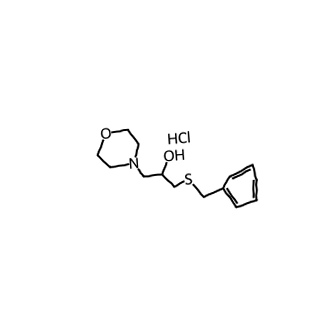 Cl.OC(CSCc1ccccc1)CN1CCOCC1